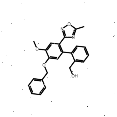 COc1cc(-c2noc(C)n2)c(-c2ccccc2CO)cc1OCc1ccccc1